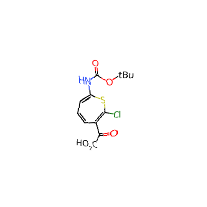 CC(C)(C)OC(=O)NC1=CC=CC(C(=O)C(=O)O)=C(Cl)S1